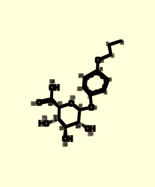 CCCOc1ccc(OC2O[C@H](C(=O)O)[C@@H](O)[C@H](O)[C@H]2O)cc1